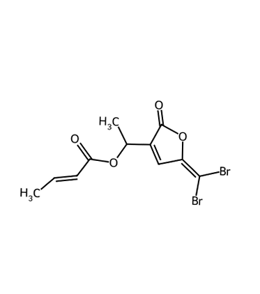 C/C=C/C(=O)OC(C)C1=CC(=C(Br)Br)OC1=O